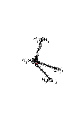 CCCC(=O)OC(CC(=O)OCCCCCCCCCCCCCCCC(C)C)(CC(=O)OCCCCCCCCCCCCCCCC(C)C)C(=O)OCCCCCCCCCCCCCCCC(C)C